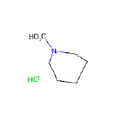 Cl.O=C(O)N1CCCCC1